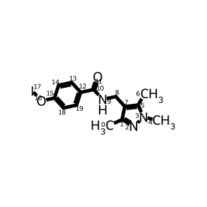 Cc1nn(C)c(C)c1CNC(=O)c1ccc(OI)cc1